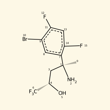 C[C@](N)(C[C@H](O)C(F)(F)F)c1cc(Br)c(F)cc1F